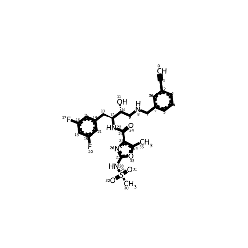 C#Cc1cccc(CNC[C@@H](O)[C@H](Cc2cc(F)cc(F)c2)NC(=O)c2nc(NS(C)(=O)=O)oc2C)c1